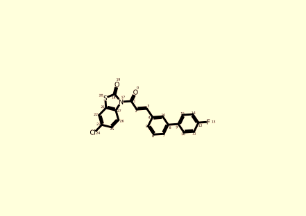 O=C(/C=C/c1cccc(-c2ccc(F)cc2)c1)n1c(=O)sc2cc(Cl)ccc21